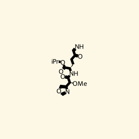 CO[C@@H](C(=O)N[C@@H](CCC(=O)C=N)C(=O)OC(C)C)c1cocn1